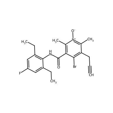 C#CCc1c(Br)c(C(=O)Nc2c(CC)cc(F)cc2CC)c(C)[n+]([O-])c1C